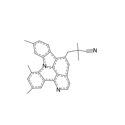 Cc1cc(C)c2c(c1)c1nccc3cc(CC(C)(C)C#N)c4c5ccc(C)cc5n2c4c31